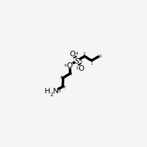 CCCS(=O)(=O)OCCCN